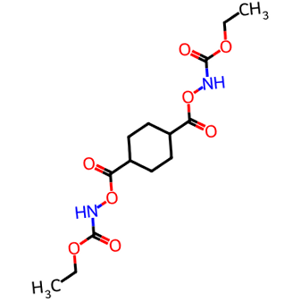 CCOC(=O)NOC(=O)C1CCC(C(=O)ONC(=O)OCC)CC1